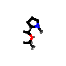 CCN1CCC[C@H]1C(C)O[C@@H](C)C(C)C